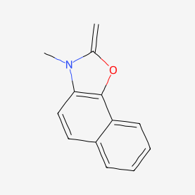 C=C1Oc2c(ccc3ccccc23)N1C